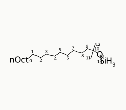 CCCCCCCCCCCCCCCCCC(C)(C)O[SiH3]